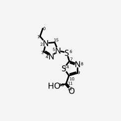 CCN1C=NN(Sc2ncc(C(=O)O)s2)C1